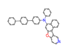 c1ccc(-c2ccc(-c3ccc(N(c4ccccc4)c4cc5oc6ccncc6c5c5ccccc45)cc3)cc2)cc1